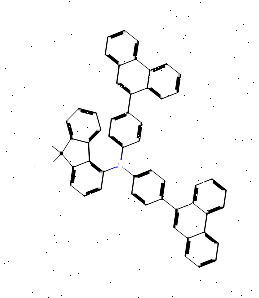 CC1(C)c2ccccc2-c2c(N(c3ccc(-c4cc5ccccc5c5ccccc45)cc3)c3ccc(-c4cc5ccccc5c5ccccc45)cc3)cccc21